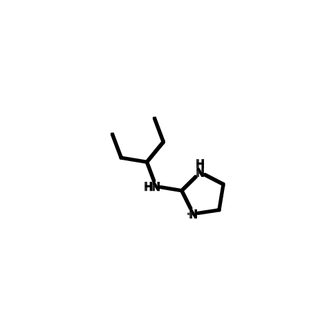 CCC(CC)NC1[N]CCN1